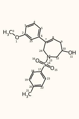 COc1cccc(C2=CCC(O)CN(S(=O)(=O)c3ccc(C)cc3)C2)c1